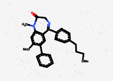 COCCCc1ccc(C2=NCC(=O)N(C)c3cc(OC)c(-c4ccccc4)cc32)cc1